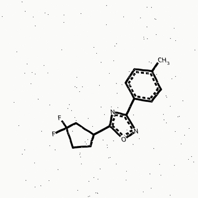 Cc1ccc(-c2noc(C3CCC(F)(F)C3)n2)cc1